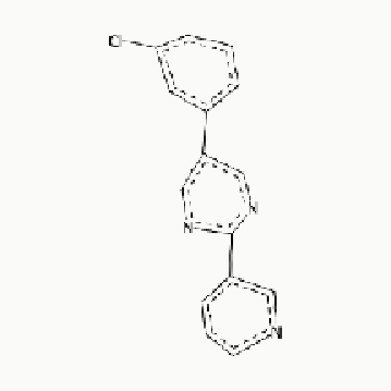 Clc1cccc(-c2cnc(-c3cccnc3)nc2)c1